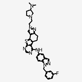 CN(C)C1CCN(CCn2cc3c(n2)CCc2c-3sc3ncnc(Nc4ccc5c(cnn5Cc5cccc(F)c5)c4)c23)C1